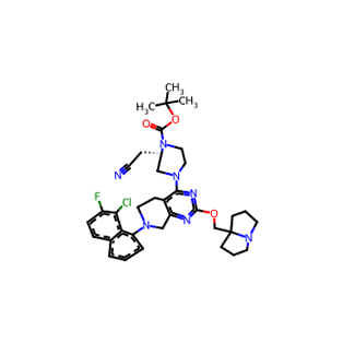 CC(C)(C)OC(=O)N1CCN(c2nc(OCC34CCCN3CCC4)nc3c2CCN(c2cccc4ccc(F)c(Cl)c24)C3)C[C@@H]1CC#N